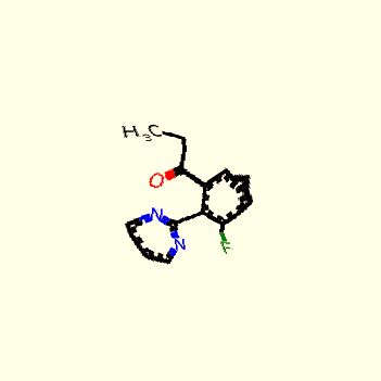 CCC(=O)c1cccc(F)c1-c1ncccn1